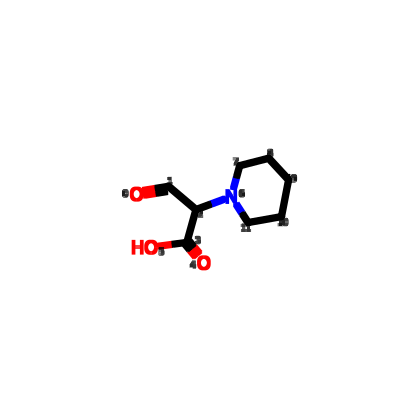 O=CC(C(=O)O)N1CC[CH]CC1